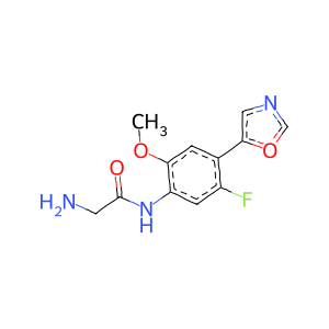 COc1cc(-c2cnco2)c(F)cc1NC(=O)CN